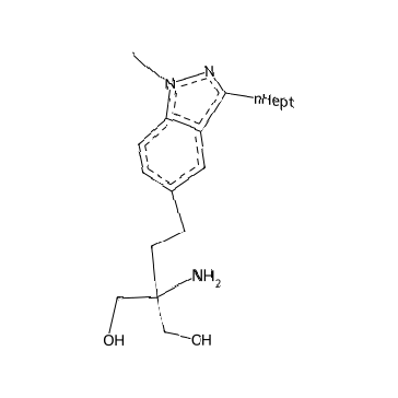 CCCCCCCc1nn(C)c2ccc(CCC(N)(CO)CO)cc12